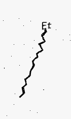 [CH2]CC=CCCCCCCCCCCCC=CC